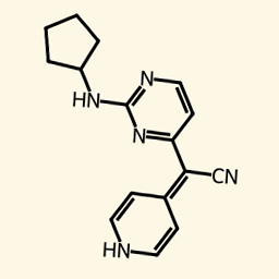 N#CC(=C1C=CNC=C1)c1ccnc(NC2CCCC2)n1